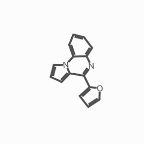 c1coc(-c2nc3ccccc3n3cccc23)c1